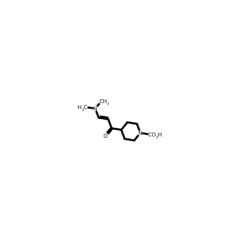 CN(C)C=CC(=O)C1CCN(C(=O)O)CC1